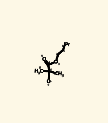 CC(C)CCOC(=O)C(C)(C)[O]